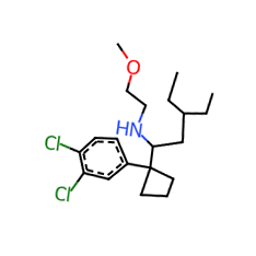 CCC(CC)CC(NCCOC)C1(c2ccc(Cl)c(Cl)c2)CCC1